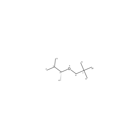 CC(C)[C@@H](C)OCC(C)(C)C